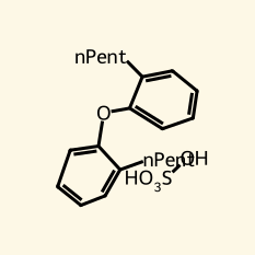 CCCCCc1ccccc1Oc1ccccc1CCCCC.O=S(=O)(O)O